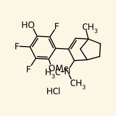 COc1c(F)c(F)c(O)c(F)c1C1=CC2(C)CCC(C2)C1N(C)C.Cl